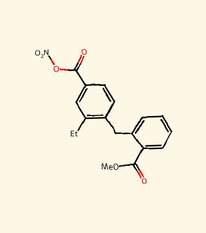 CCc1cc(C(=O)O[N+](=O)[O-])ccc1Cc1ccccc1C(=O)OC